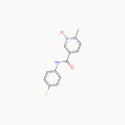 Cc1ccc(C(=O)Nc2ccc(F)cc2)c[n+]1[O-]